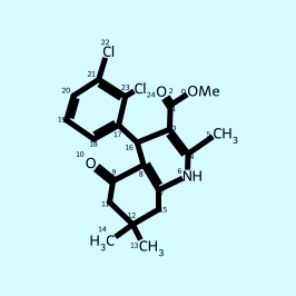 COC(=O)C1=C(C)NC2=C(C(=O)CC(C)(C)C2)C1c1cccc(Cl)c1Cl